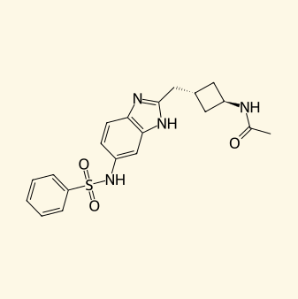 CC(=O)N[C@H]1C[C@H](Cc2nc3ccc(NS(=O)(=O)c4ccccc4)cc3[nH]2)C1